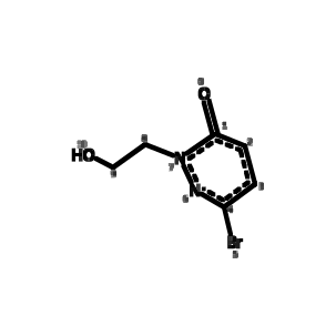 O=c1ccc(Br)nn1CCO